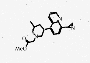 COC(=O)CN1CC(C)CC(c2ccc(C3C=N3)c3ncccc23)C1